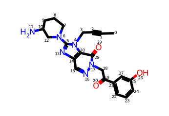 CC#CCn1c(N2CCCC(N)C2)nc2cnn(CC(=O)c3cccc(O)c3)c(=O)c21